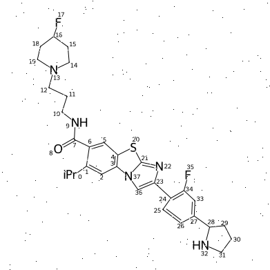 CC(C)c1cc2c(cc1C(=O)NCCCN1CCC(F)CC1)sc1nc(-c3ccc(C4CCCN4)cc3F)cn12